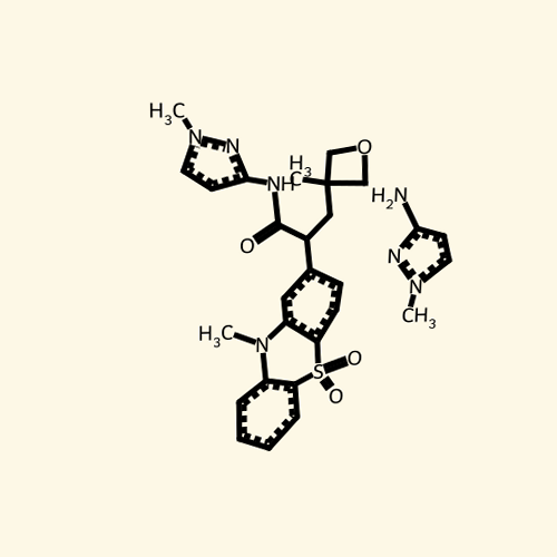 CN1c2ccccc2S(=O)(=O)c2ccc(C(CC3(C)COC3)C(=O)Nc3ccn(C)n3)cc21.Cn1ccc(N)n1